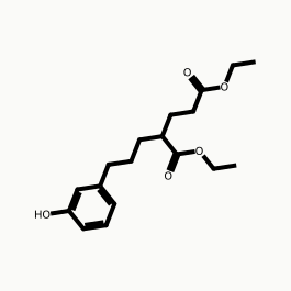 CCOC(=O)CCC(CCCc1cccc(O)c1)C(=O)OCC